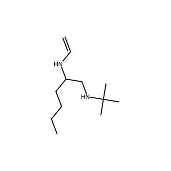 C=CNC(CCCC)CNC(C)(C)C